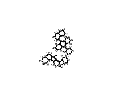 c1cc(-c2ccc3oc4ccc5c(oc6ccc7ccccc7c65)c4c3c2)cc(-c2c3ccccc3c(-c3cccc4ccccc34)c3ccccc23)c1